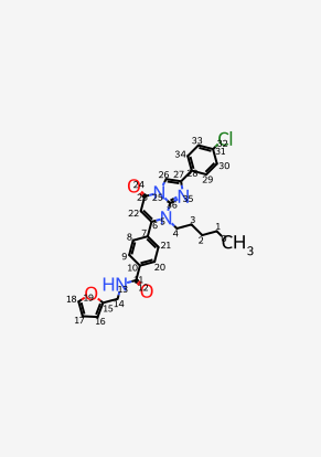 CCCCCn1c(-c2ccc(C(=O)NCc3ccco3)cc2)cc(=O)n2cc(-c3ccc(Cl)cc3)nc12